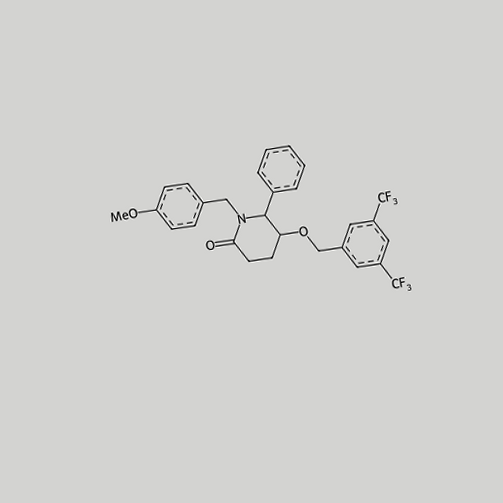 COc1ccc(CN2C(=O)CCC(OCc3cc(C(F)(F)F)cc(C(F)(F)F)c3)C2c2ccccc2)cc1